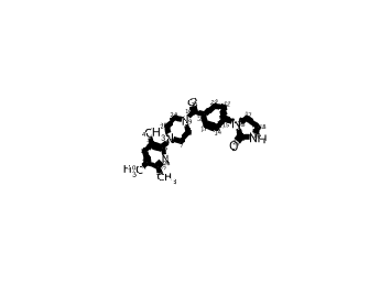 Cc1cc(C)c(N2CCN(C(=O)c3ccc(N4CCNC4=O)cc3)CC2)nc1C